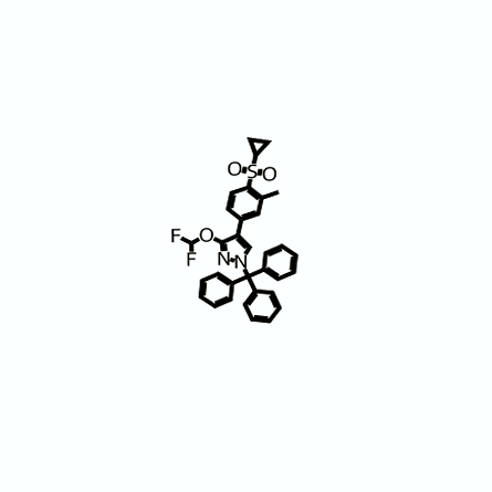 Cc1cc(-c2cn(C(c3ccccc3)(c3ccccc3)c3ccccc3)nc2OC(F)F)ccc1S(=O)(=O)C1CC1